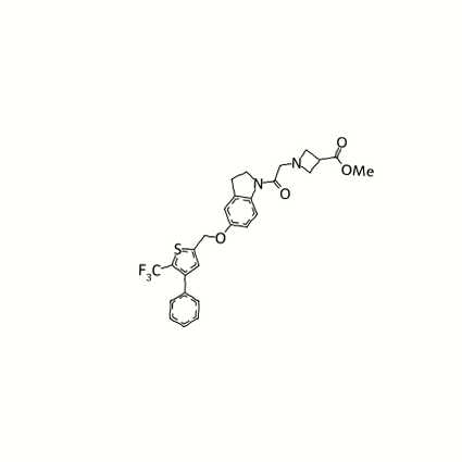 COC(=O)C1CN(CC(=O)N2CCc3cc(OCc4cc(-c5ccccc5)c(C(F)(F)F)s4)ccc32)C1